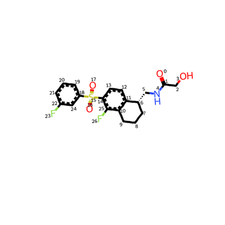 O=C(CO)NC[C@@H]1CCCc2c1ccc(S(=O)(=O)c1cccc(F)c1)c2F